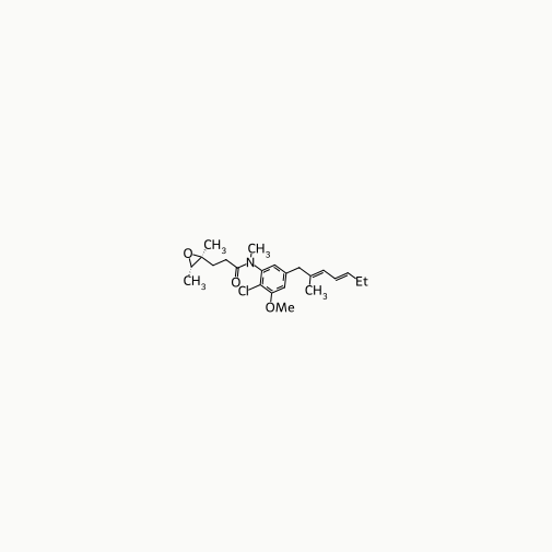 CC/C=C/C=C(\C)Cc1cc(OC)c(Cl)c(N(C)C(=O)CC[C@]2(C)O[C@H]2C)c1